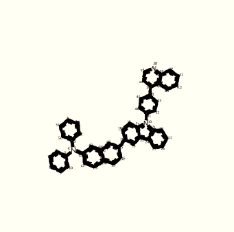 c1ccc(N(c2ccccc2)c2ccc3ccc(-c4ccc5c(c4)c4ccccc4n5-c4ccc(-c5ccnc6ccccc56)cc4)cc3c2)cc1